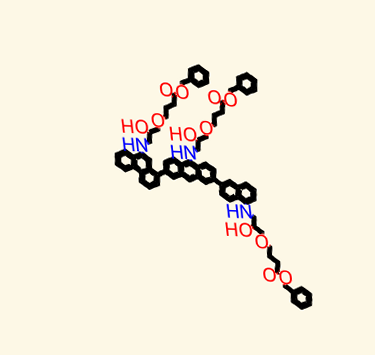 O=C(CCCOCC(O)CNc1cccc2cc(-c3ccc4c(NCC(O)COCCCC(=O)OCc5ccccc5)c5ccc(-c6cccc7c6cc(NCC(O)COCCCC(=O)OCc6ccccc6)c6ccccc67)cc5cc4c3)ccc12)OCc1ccccc1